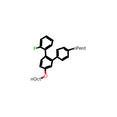 CCCCCCCCOc1ccc(-c2ccccc2F)c(-c2ccc(CCCCC)cc2)c1